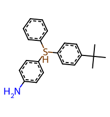 CC(C)(C)c1ccc([SH](c2ccccc2)c2ccc(N)cc2)cc1